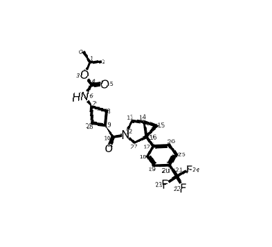 CC(C)OC(=O)N[C@H]1C[C@@H](C(=O)N2CC3CC3(c3ccc(C(F)(F)F)cc3)C2)C1